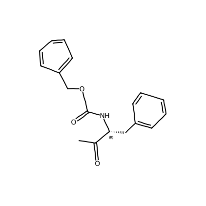 CC(=O)[C@@H](Cc1ccccc1)NC(=O)OCc1ccccc1